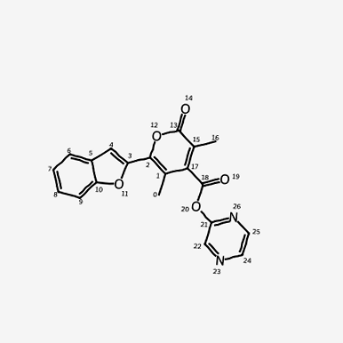 Cc1c(-c2cc3ccccc3o2)oc(=O)c(C)c1C(=O)Oc1cnccn1